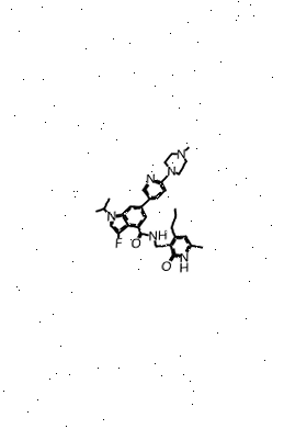 CCCc1cc(C)[nH]c(=O)c1CNC(=O)c1cc(-c2ccc(N3CCN(C)CC3)nc2)cc2c1c(F)cn2C(C)C